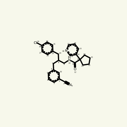 N#Cc1cccc(CC(CNC(=O)C2(c3cccnc3)CCCC2)Cc2ccc(Cl)cc2)c1